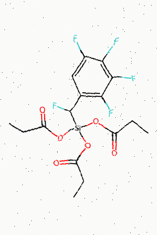 CCC(=O)O[Si](OC(=O)CC)(OC(=O)CC)C(F)c1cc(F)c(F)c(F)c1F